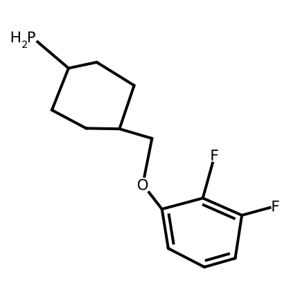 Fc1cccc(OCC2CCC(P)CC2)c1F